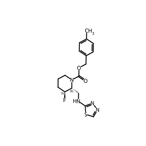 Cc1ccc(COC(=O)N2CCC[C@H](F)[C@H]2CNc2nncs2)cc1